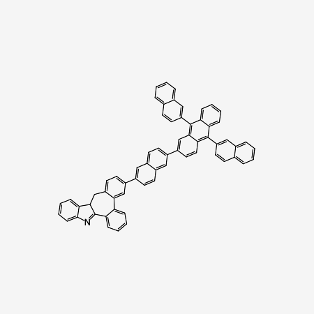 c1ccc2c(c1)N=C1c3ccccc3-c3cc(-c4ccc5cc(-c6ccc7c(-c8ccc9ccccc9c8)c8ccccc8c(-c8ccc9ccccc9c8)c7c6)ccc5c4)ccc3CC12